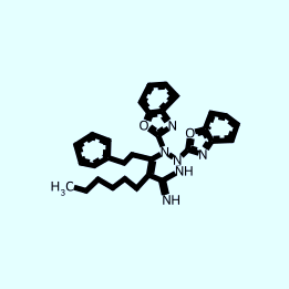 CCCCCCC1=C(CCc2ccccc2)N(c2nc3ccccc3o2)N(c2nc3ccccc3o2)NC1=N